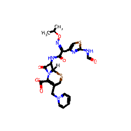 CC(C)ON=C(C(=O)NC1C(=O)N2C(C(=O)[O-])=C(C[n+]3ccccc3)CS[C@@H]12)c1csc(NC=O)n1